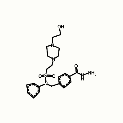 NNC(=O)c1ccc(CN(c2ccccc2)S(=O)(=O)CCN2CCN(CCO)CC2)cc1